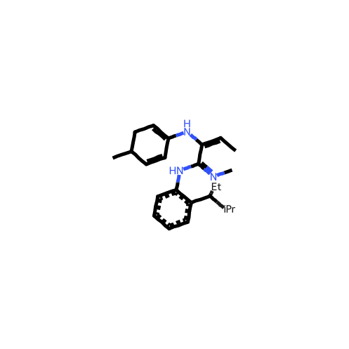 C/C=C(NC1=CCC(C)C=C1)\C(=N/C)Nc1ccccc1C(CC)C(C)C